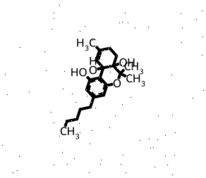 CCCCCc1cc(O)c2c(c1)OC(C)(C)C1(O)CCC(C)=CC21O